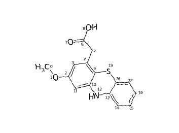 COc1cc(CC(=O)O)c2c(c1)Nc1ccccc1S2